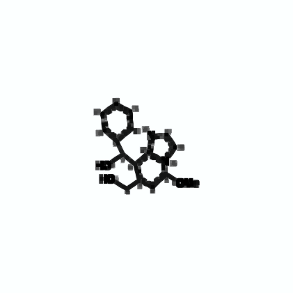 COc1cc(CO)c(C(O)c2ccccc2)c2nccn12